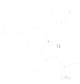 COC(=O)c1nn2c(-c3ccoc3)cc(C3CC3)cc2c1Cl